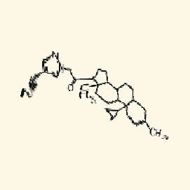 CC1CCC2(C3CC3)C(CCC3C4CCC(C(=O)Cn5cc(C#N)cn5)C4(C)CCC32)C1